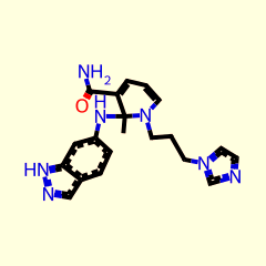 CC1(Nc2ccc3cn[nH]c3c2)C(C(N)=O)=CC=CN1CCCn1ccnc1